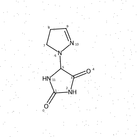 O=C1NC(=O)C(N2CCC=N2)N1